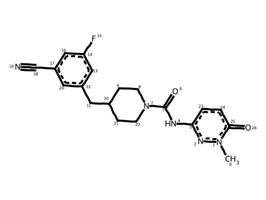 Cn1nc(NC(=O)N2CCC(Cc3cc(F)cc(C#N)c3)CC2)ccc1=O